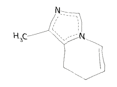 Cc1ncn2c1CCC=C2